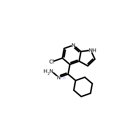 N/N=C(\c1c(Cl)cnc2[nH]ccc12)C1CCCCC1